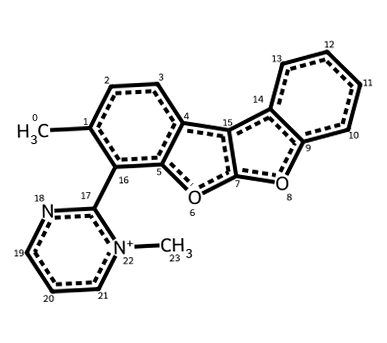 Cc1ccc2c(oc3oc4ccccc4c32)c1-c1nccc[n+]1C